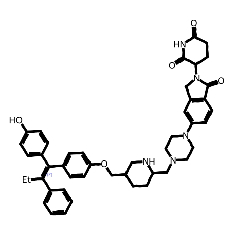 CC/C(=C(\c1ccc(O)cc1)c1ccc(OCC2CCC(CN3CCN(c4ccc5c(c4)CN(C4CCC(=O)NC4=O)C5=O)CC3)NC2)cc1)c1ccccc1